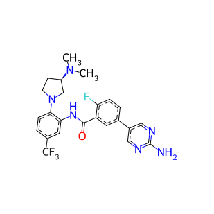 CN(C)[C@@H]1CCN(c2ccc(C(F)(F)F)cc2NC(=O)c2cc(-c3cnc(N)nc3)ccc2F)C1